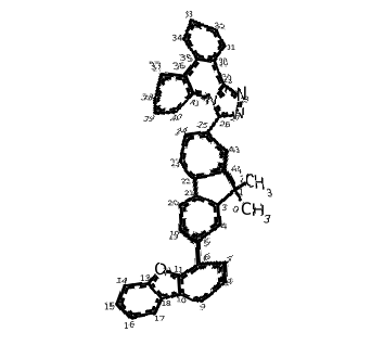 CC1(C)c2cc(-c3cccc4c3oc3ccccc34)ccc2-c2ccc(-c3nnc4c5ccccc5c5ccccc5n34)cc21